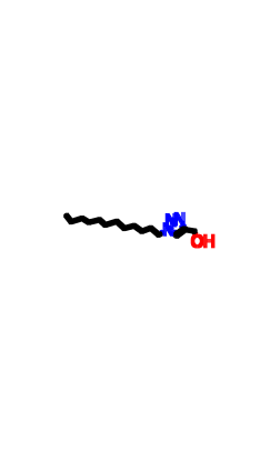 CCCCCCCCCCCCn1cc(CO)nn1